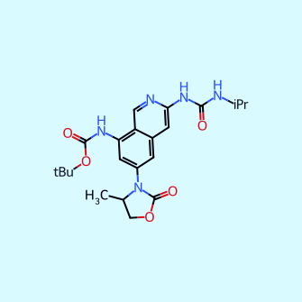 CC(C)NC(=O)Nc1cc2cc(N3C(=O)OCC3C)cc(NC(=O)OC(C)(C)C)c2cn1